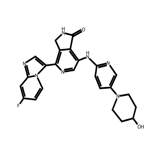 O=C1NCc2c(-c3cnc4cc(F)ccn34)ncc(Nc3ccc(N4CCC(O)CC4)cn3)c21